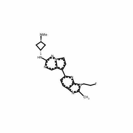 CN[C@H]1C[C@H](Nc2ncc3c(-c4ccc5nc(C)n(CCF)c5n4)ccn3n2)C1